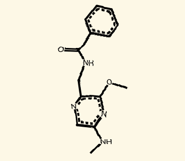 CNc1cnc(CNC(=O)c2ccccc2)c(OC)n1